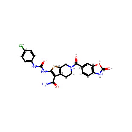 NC(=O)c1c(NC(=O)Nc2ccc(Cl)cc2)sc2c1CCN(C(=O)c1ccc3[nH]c(=O)oc3c1)C2